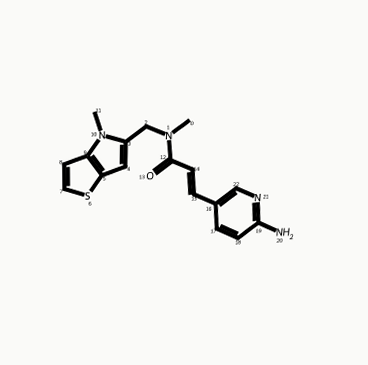 CN(Cc1cc2sccc2n1C)C(=O)C=Cc1ccc(N)nc1